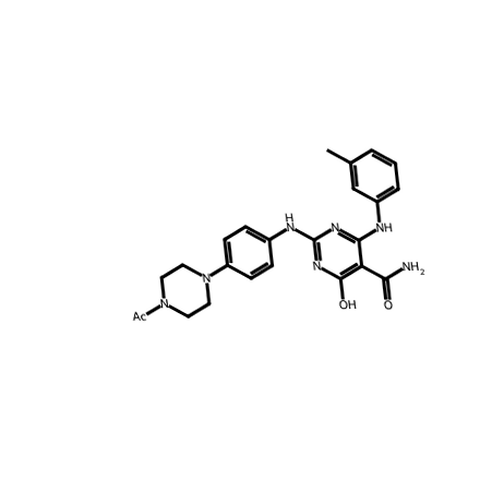 CC(=O)N1CCN(c2ccc(Nc3nc(O)c(C(N)=O)c(Nc4cccc(C)c4)n3)cc2)CC1